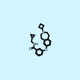 O=C(NCC1CC1)c1cccc(Oc2ccc3c(c2)CCN(C2CCC2)CC3)c1